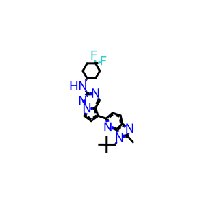 Cc1nc2ccc(-c3ccn4nc(NC5CCC(F)(F)CC5)ncc34)nc2n1CC(C)(C)C